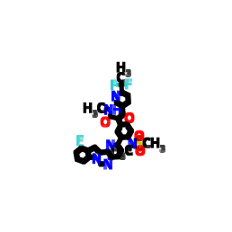 CNC(=O)c1c(-c2ccc(C(C)(F)F)nc2)oc2cc(N(C)S(C)(=O)=O)c(-c3ccc4ncn5c6cccc(F)c6cc5c4n3)cc12